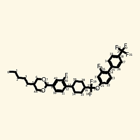 CCCCCC1COC(c2ccc(C3CCC(C(F)(F)Oc4ccc(-c5ccc(C(F)(F)F)cc5)c(F)c4)CC3)c(F)c2)OC1